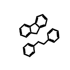 c1ccc(CCc2ccccc2)cc1.c1ccc2c(c1)Cc1ccccc1-2